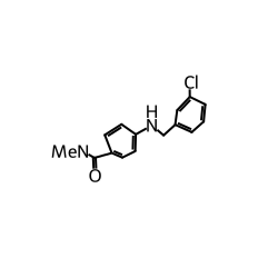 CNC(=O)c1ccc(NCc2cccc(Cl)c2)cc1